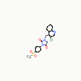 O=C1CN(Cc2c(Cl)cnc3ccccc23)C(=O)N1c1ccc(S(=O)(=O)C(F)(F)F)cc1